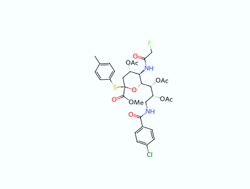 COC(=O)[C@]1(Sc2ccc(C)cc2)C[C@H](OC(C)=O)[C@@H](NC(=O)CF)[C@H]([C@H](OC(C)=O)[C@@H](CNC(=O)c2ccc(Cl)cc2)OC(C)=O)O1